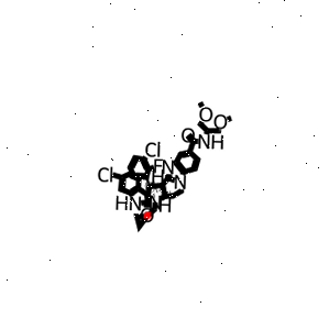 COCC(COC)NC(=O)c1ccc2c(c1)nc1n2CC[C@H]2[C@@H]1[C@H](c1cccc(Cl)c1F)[C@]1(C(=O)Nc3cc(Cl)ccc31)N2CC1CC1